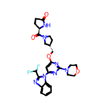 O=C1CC[C@H](C(=O)N2CC[C@H](COc3cc(-n4c(C(F)F)nc5ccccc54)nc(N4CCOCC4)n3)C2)N1